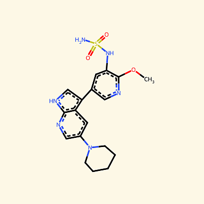 COc1ncc(-c2c[nH]c3ncc(N4CCCCC4)cc23)cc1NS(N)(=O)=O